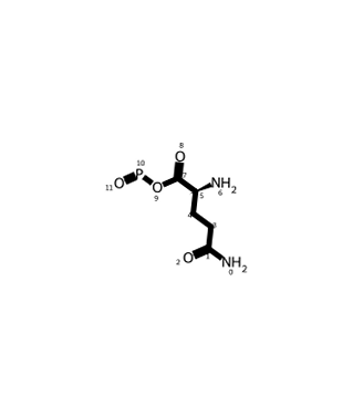 NC(=O)CC[C@H](N)C(=O)OP=O